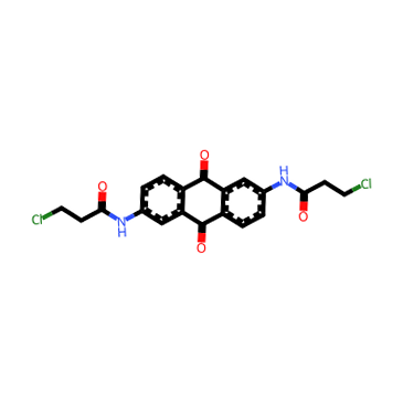 O=C(CCCl)Nc1ccc2c(c1)C(=O)c1ccc(NC(=O)CCCl)cc1C2=O